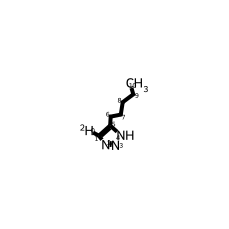 [2H]c1nn[nH]c1CCCCC